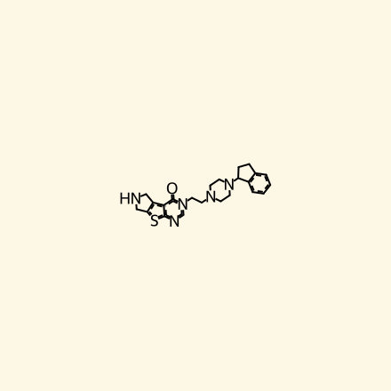 O=c1c2c3c(sc2ncn1CCN1CCN(C2CCc4ccccc42)CC1)CNC3